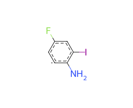 Nc1[c]cc(F)cc1I